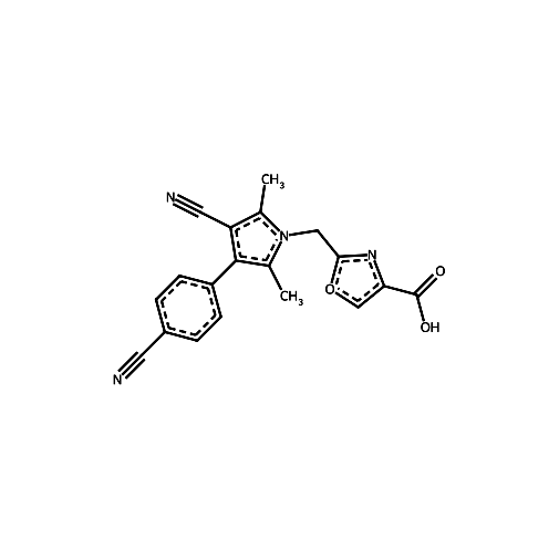 Cc1c(C#N)c(-c2ccc(C#N)cc2)c(C)n1Cc1nc(C(=O)O)co1